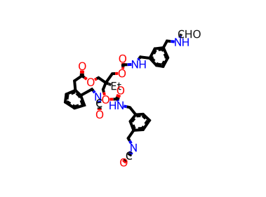 CCC(COC(=O)Cc1ccccc1CN=C=O)(COC(=O)NCc1cccc(CN=C=O)c1)COC(=O)NCc1cccc(CNC=O)c1